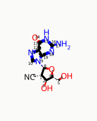 N#C[C@H]1[C@H](O)[C@@H](CO)O[C@H]1n1cnc2c(=O)[nH]c(N)nc21